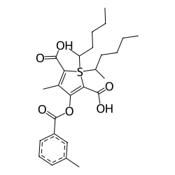 CCCCC(C)S1(C(C)CCCC)C(C(=O)O)=C(C)C(OC(=O)c2cccc(C)c2)=C1C(=O)O